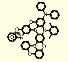 Cc1cccc(C)c1N1c2cc3c(cc2B2c4cc5c(cc4Oc4cc(N(c6ccccc6)c6ccccc6)cc1c42)Oc1cccc2c1B5c1ccccc1O2)B1c2ccccc2Oc2cccc(c21)O3